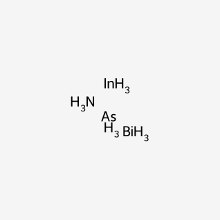 N.[AsH3].[BiH3].[InH3]